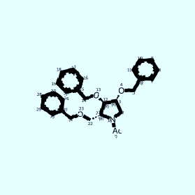 CC(=O)N1C[C@@H](OCc2ccccc2)[C@H](OCc2ccccc2)[C@H]1COCc1ccccc1